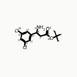 CC(C)(C)OC(=O)CC(N)c1cc(Cl)cc(Cl)c1